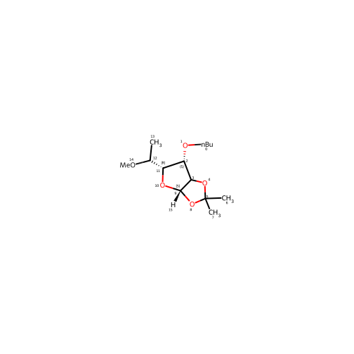 CCCCO[C@@H]1C2OC(C)(C)O[C@@H]2O[C@@H]1C(C)OC